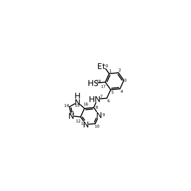 CCc1cccc(CNc2ncnc3nc[nH]c23)c1S